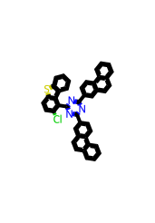 Clc1ccc2sc3ccccc3c2c1-c1nc(-c2ccc3c(ccc4ccccc43)c2)nc(-c2ccc3c(ccc4ccccc43)c2)n1